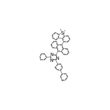 C[Si]1(C)c2ccccc2-c2c(-c3c4ccccc4c(-c4nc(-c5ccccc5)nc(-c5ccc(-c6ccccc6)cc5)n4)c4ccccc34)cccc21